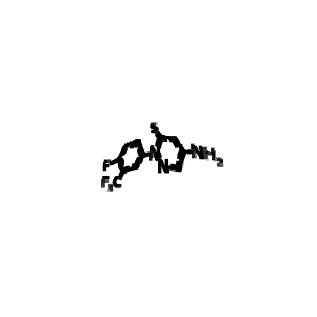 Nc1cnn(-c2ccc(F)c(C(F)(F)F)c2)c(=S)c1